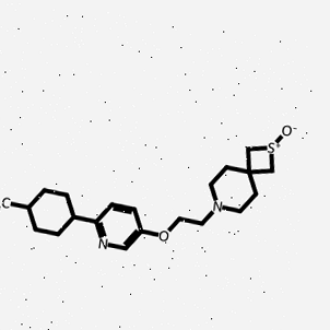 [O-][S+]1CC2(CCN(CCOc3ccc(C4CCC(C(F)(F)F)CC4)nc3)CC2)C1